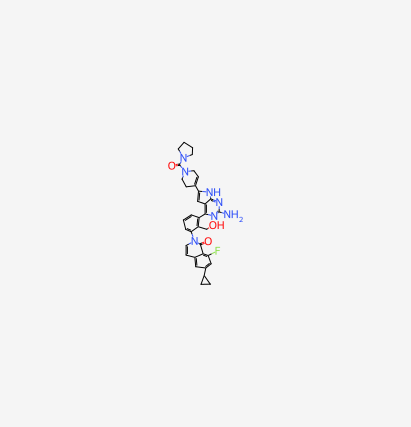 Nc1nc(-c2cccc(-n3ccc4cc(C5CC5)cc(F)c4c3=O)c2CO)c2cc(C3=CCN(C(=O)N4CCCC4)CC3)[nH]c2n1